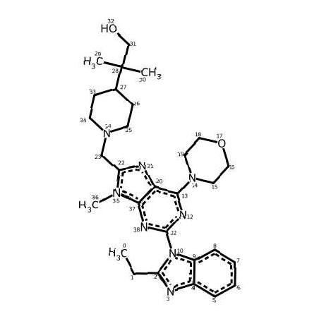 CCc1nc2ccccc2n1-c1nc(N2CCOCC2)c2nc(CN3CCC(C(C)(C)CO)CC3)n(C)c2n1